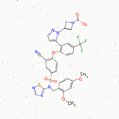 COc1ccc(CN(c2ncns2)S(=O)(=O)c2ccc(Oc3ccc(C(F)(F)F)cc3-c3ccnn3C3CN(C(=O)O)C3)c(C#N)c2)c(OC)c1